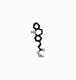 CC(C)(C)OC(=O)/C=C/c1ccc2c(c1)CCc1ccccc1N2